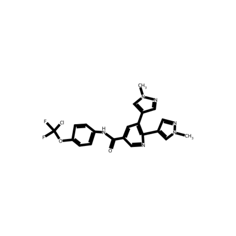 Cn1cc(-c2cc(C(=O)Nc3ccc(OC(F)(F)Cl)cc3)cnc2-c2cnn(C)c2)cn1